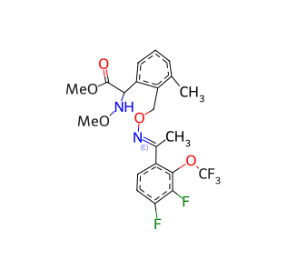 CONC(C(=O)OC)c1cccc(C)c1CO/N=C(\C)c1ccc(F)c(F)c1OC(F)(F)F